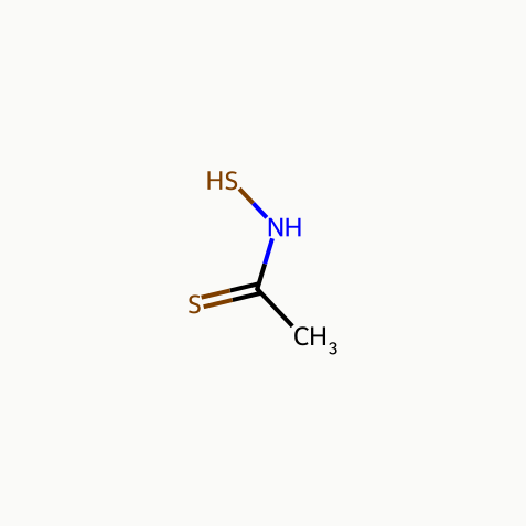 CC(=S)NS